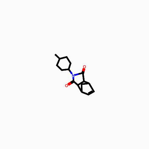 CC1CCC(N2C(=O)C3C4C=CC(C4)C3C2=O)CC1